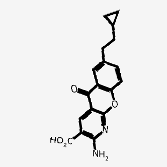 Nc1nc2oc3ccc(CCC4CC4)cc3c(=O)c2cc1C(=O)O